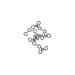 C1=C(C2=NC(n3c4ccccc4c4ccc(-c5ccc6c(c5)c5ccccc5n6-c5ccccc5)cc43)=NC(c3cccc(-n4c5ccccc5c5ccc(-c6ccc7c(c6)c6ccccc6n7-c6ccccc6)cc54)c3)N2)CCC=C1c1cccc(-c2ccccc2)c1